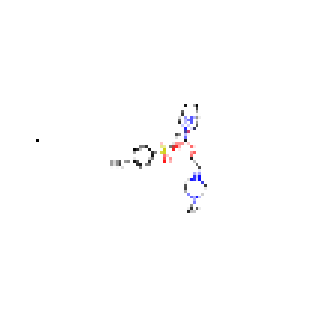 CC(=O)N1CCN(CCOC(=O)N2CC3CCC(C2)N3CCCS(=O)(=O)c2ccc(C#N)cc2)CC1